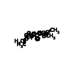 CCCO[C@@H](C)C(=O)Oc1ccc(-c2ccc(C(=O)OC(=O)OC[C@@H](C)CC)c(F)c2-c2ccccc2)cc1